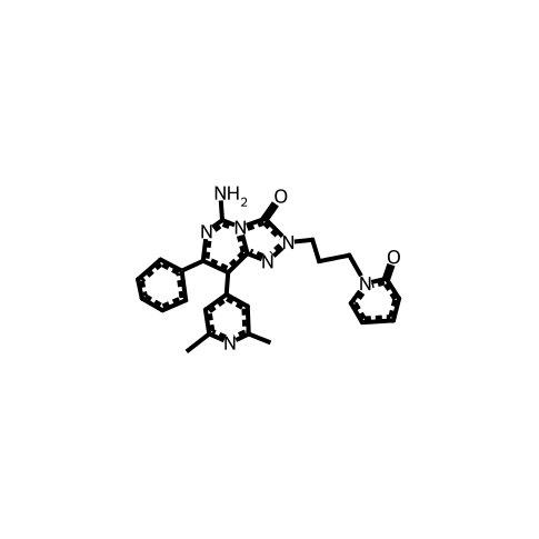 Cc1cc(-c2c(-c3ccccc3)nc(N)n3c(=O)n(CCCn4ccccc4=O)nc23)cc(C)n1